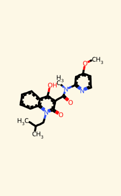 COc1ccnc(N(C)C(=O)c2c(O)c3ccccc3n(CC(C)C)c2=O)c1